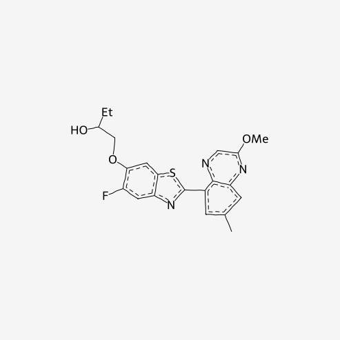 CCC(O)COc1cc2sc(-c3cc(C)cc4nc(OC)cnc34)nc2cc1F